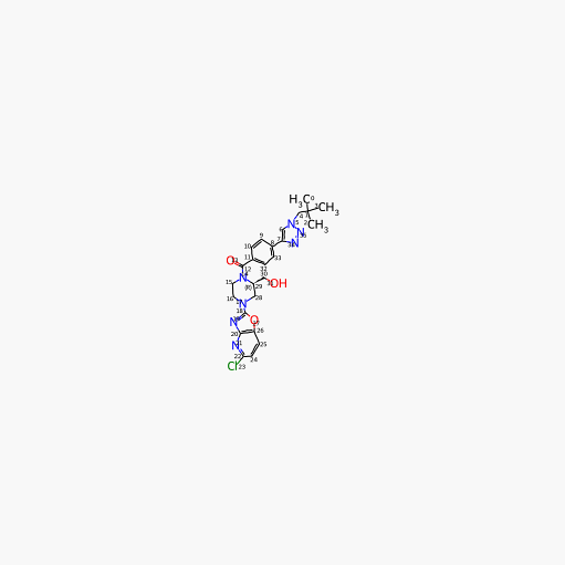 CC(C)(C)Cn1cc(-c2ccc(C(=O)N3CCN(c4nc5nc(Cl)ccc5o4)C[C@@H]3CO)cc2)nn1